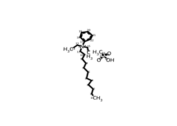 CCCCCCCCCCCC[N+](CC)(CC)c1ccccc1.CS(=O)(=O)O